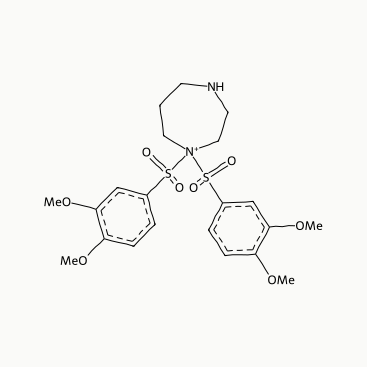 COc1ccc(S(=O)(=O)[N+]2(S(=O)(=O)c3ccc(OC)c(OC)c3)CCCNCC2)cc1OC